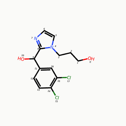 OCCCn1ccnc1C(O)c1ccc(Cl)c(Cl)c1